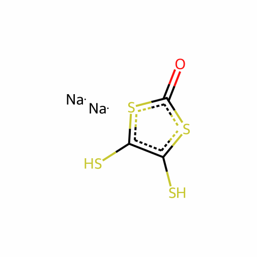 O=c1sc(S)c(S)s1.[Na].[Na]